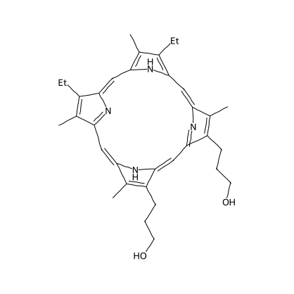 CCC1=C(C)c2cc3[nH]c(cc4nc(cc5[nH]c(cc1n2)c(C)c5CC)C(C)=C4CCCO)c(CCCO)c3C